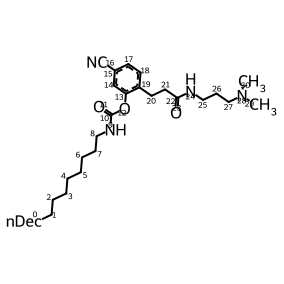 CCCCCCCCCCCCCCCCCCNC(=O)Oc1cc(C#N)ccc1CCC(=O)NCCCN(C)C